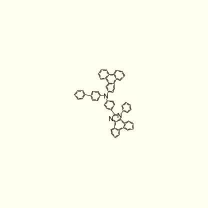 c1ccc(-c2ccc(N(c3ccc(-c4nc5c6ccccc6c6ccccc6c5n4-c4ccccc4)cc3)c3ccc4c5ccccc5c5ccccc5c4c3)cc2)cc1